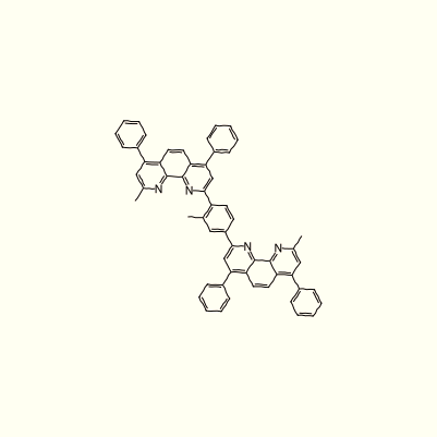 Cc1cc(-c2ccccc2)c2ccc3c(-c4ccccc4)cc(-c4ccc(-c5cc(-c6ccccc6)c6ccc7c(-c8ccccc8)cc(C)nc7c6n5)c(C)c4)nc3c2n1